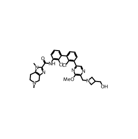 COc1nc(-c2cccc(-c3cccc(NC(=O)c4nc5c(n4C)CCN(C)C5)c3Cl)c2Cl)cnc1CN1CC(CO)C1